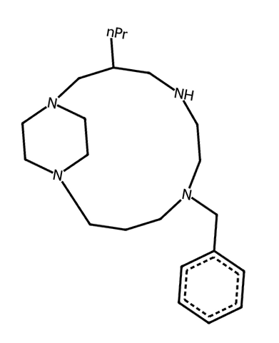 CCCC1CNCCN(Cc2ccccc2)CCCN2CCN(CC2)C1